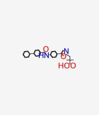 CC(C)(Cc1ncc(-c2ccc(NC(=O)c3ccc(-c4ccccc4)cc3)cc2)o1)C(=O)O